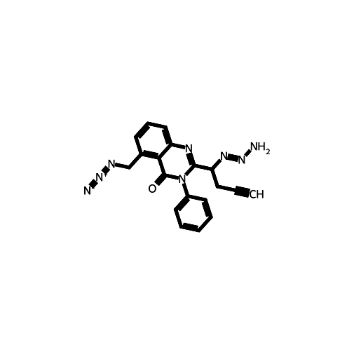 C#CCC(N=NN)c1nc2cccc(CN=[N+]=[N-])c2c(=O)n1-c1ccccc1